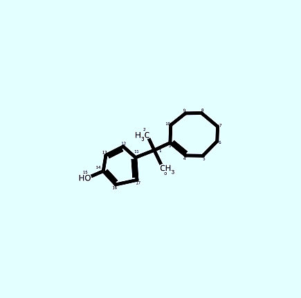 CC(C)(C1=CCCCCCC1)c1ccc(O)cc1